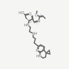 C=C(/C=N\C(=C/C)OC)[C@H](CC(=O)O)NCCNCCCc1ccc2c(n1)NCCC21CC1